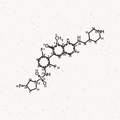 Cn1c(=O)c(-c2c(F)ccc(NS(=O)(=O)N3CC[C@@H](F)C3)c2F)cc2cnc(NCC3CCNCC3)nc21